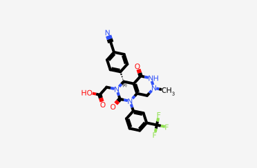 CN1CC2=C(C(=O)N1)[C@@H](c1ccc(C#N)cc1)N(CC(=O)O)C(=O)N2c1cccc(C(F)(F)F)c1